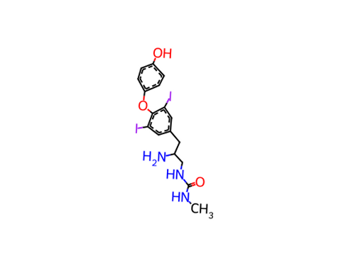 CNC(=O)NCC(N)Cc1cc(I)c(Oc2ccc(O)cc2)c(I)c1